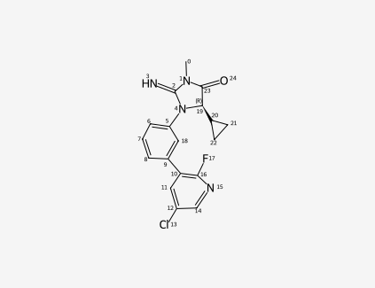 CN1C(=N)N(c2cccc(-c3cc(Cl)cnc3F)c2)[C@H](C2CC2)C1=O